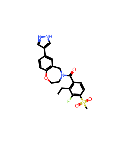 CCc1c(C(=O)N2CCOc3ccc(-c4cn[nH]c4)cc3C2)ccc(S(C)(=O)=O)c1F